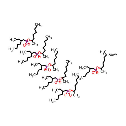 CCCCCCC(C)OP(=O)([O-])CC(CC)CCCC.CCCCCCC(C)OP(=O)([O-])CC(CC)CCCC.CCCCCCC(C)OP(=O)([O-])CC(CC)CCCC.CCCCCCC(C)OP(=O)([O-])CC(CC)CCCC.CCCCCCC(C)OP(=O)([O-])CC(CC)CCCC.CCCCCCC(C)OP(=O)([O-])CC(CC)CCCC.[Mo+6]